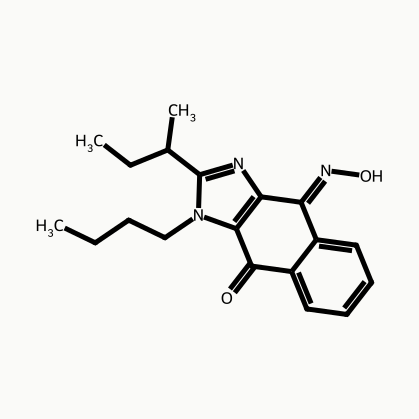 CCCCn1c(C(C)CC)nc2c1C(=O)c1ccccc1/C2=N\O